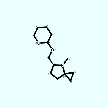 CN1[C@H](COC2CCCCO2)CCC12CC2